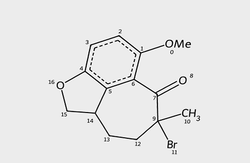 COc1ccc2c3c1C(=O)C(C)(Br)CCC3CO2